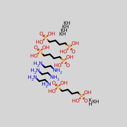 NCCN.NCCN.NCCN.O=P(O)(O)CCCCP(=O)(O)O.O=P(O)(O)CCCCP(=O)(O)O.O=P(O)(O)CCCCP(=O)(O)O.[KH].[KH].[KH].[KH].[KH].[KH]